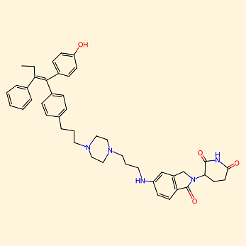 CCC(=C(c1ccc(O)cc1)c1ccc(CCCN2CCN(CCCNc3ccc4c(c3)CN(C3CCC(=O)NC3=O)C4=O)CC2)cc1)c1ccccc1